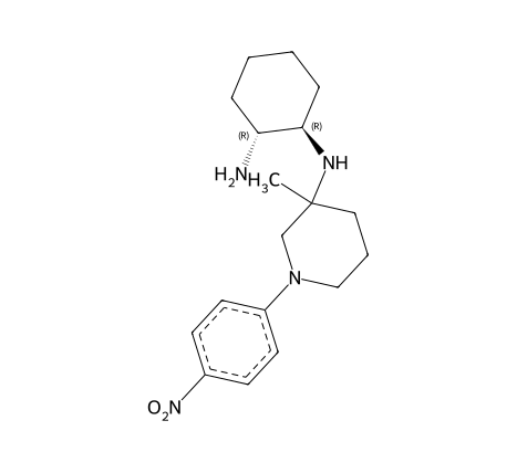 CC1(N[C@@H]2CCCC[C@H]2N)CCCN(c2ccc([N+](=O)[O-])cc2)C1